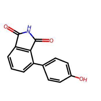 O=C1NC(=O)c2c1cccc2-c1ccc(O)cc1